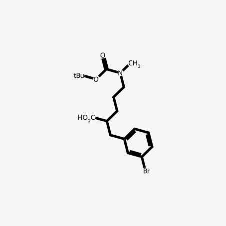 CN(CCCC(Cc1cccc(Br)c1)C(=O)O)C(=O)OC(C)(C)C